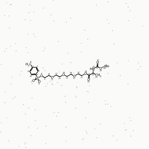 Cc1ccc(S(=O)(=O)OCCOCCOCCOCCOC(=O)C(C)NC(=O)OC(C)(C)C)cc1